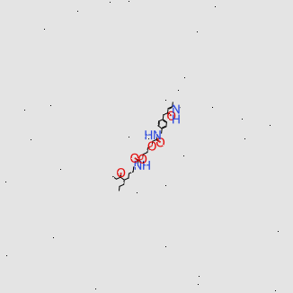 CCCC(CCCCNC(=O)OCCCOCC(=O)NCc1ccc(CC(=O)/C=C(/C)NC)cc1)C(=O)CC